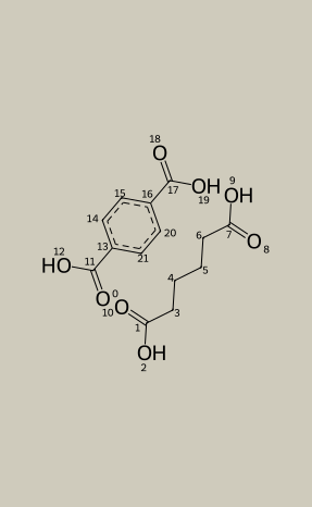 O=C(O)CCCCC(=O)O.O=C(O)c1ccc(C(=O)O)cc1